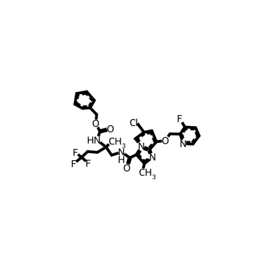 Cc1nc2c(OCc3ncccc3F)cc(Cl)cn2c1C(=O)NCC(C)(CCC(F)(F)F)NC(=O)OCc1ccccc1